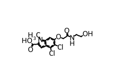 Cn1c(C(=O)O)cc2c(Cl)c(Cl)c(OCC(=O)NCCO)cc21